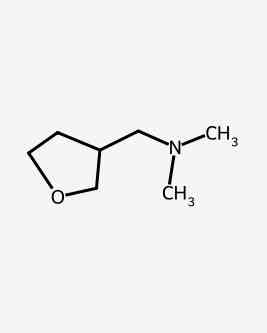 CN(C)CC1CCOC1